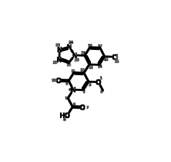 COc1cn(CC(=O)O)c(=O)cc1-c1cc(Cl)ccc1-n1cnnn1